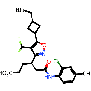 Cc1ccc(NC(=O)C[C@@H](CCC(=O)O)c2noc([C@H]3C[C@@H](CC(C)(C)C)C3)c2C(F)F)c(Cl)c1